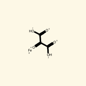 O=C(O)C(=O)C(=O)O.[Fe]